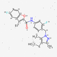 CCc1c(C(=O)Nc2ccc(Cn3nc(C)c(CC(=O)O)c3C)c(F)c2)oc2ccc(F)cc12